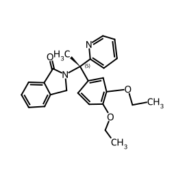 CCOc1ccc([C@@](C)(c2ccccn2)N2Cc3ccccc3C2=O)cc1OCC